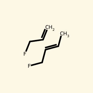 C=CCF.CC=CCF